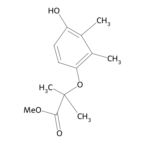 COC(=O)C(C)(C)Oc1ccc(O)c(C)c1C